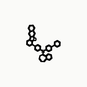 C1=CCC(N(c2ccc(-c3ccccc3)cc2)c2ccc(-c3cccc4c3oc3cc5ccccc5cc34)cc2)=c2ccccc2=C1